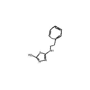 Oc1nnc(NCCc2ccccc2)s1